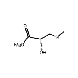 COC(=O)[C@@H](O)C[Se]C